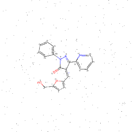 O=C1/C(=C\c2ccc(CO)o2)C(c2ccccn2)=NN1c1ccccc1